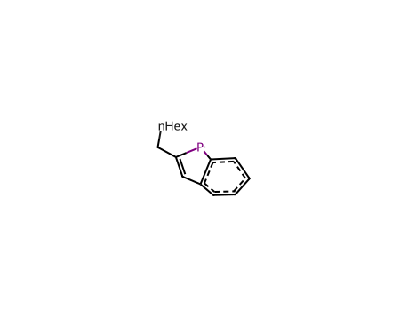 CCCCCCCC1=Cc2ccccc2[P]1